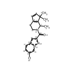 CC1C2=C(C=CC2(C)C)CCN1C(=O)c1cc2ccc(Cl)cn2n1